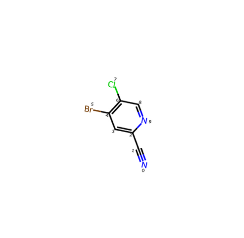 N#Cc1cc(Br)c(Cl)cn1